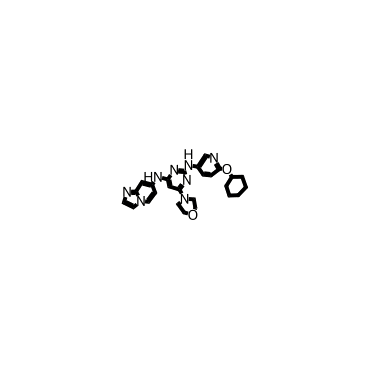 c1cn2ccc(Nc3cc(N4CCOCC4)nc(Nc4ccc(OC5CCCCC5)nc4)n3)cc2n1